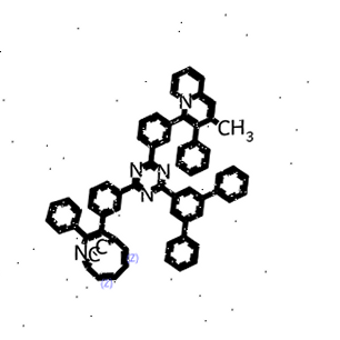 CC1=C=C2C=CC=CN2C(c2cccc(-c3nc(-c4cccc(C5=C(c6ccccc6)N=C6/C=C\C=C/C5CC6)c4)nc(-c4cc(-c5ccccc5)cc(-c5ccccc5)c4)n3)c2)=C1c1ccccc1